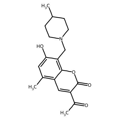 CC(=O)c1cc2c(C)cc(O)c(CN3CCC(C)CC3)c2oc1=O